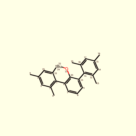 Cc1cc(C)c(-c2cccc(-c3c(C)cc(C)cc3C)c2OC(C)(C)C)c(C)c1